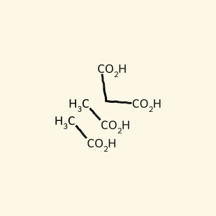 CC(=O)O.CC(=O)O.O=C(O)CC(=O)O